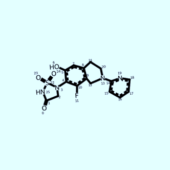 O=C1CN(c2c(O)cc3c(c2F)CN(c2ccccn2)CC3)S(=O)(=O)N1